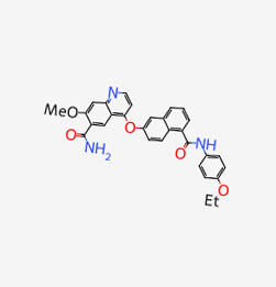 CCOc1ccc(NC(=O)c2cccc3cc(Oc4ccnc5cc(OC)c(C(N)=O)cc45)ccc23)cc1